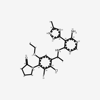 CCOc1cc(C(C)Nc2ncnc(N)c2-c2nnc(C)o2)c(Cl)c(F)c1N1CCCC1=O